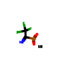 N=C([SH](=O)=O)C(F)(F)F.[LiH]